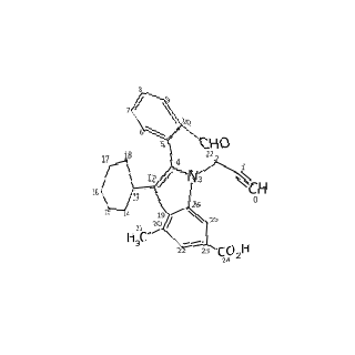 C#CCn1c(-c2ccccc2C=O)c(C2CCCCC2)c2c(C)cc(C(=O)O)cc21